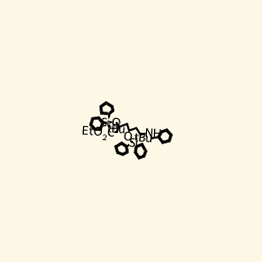 CCOC(=O)CC(CC(CCNCc1ccccc1)O[Si](c1ccccc1)(c1ccccc1)C(C)(C)C)O[Si](c1ccccc1)(c1ccccc1)C(C)(C)C